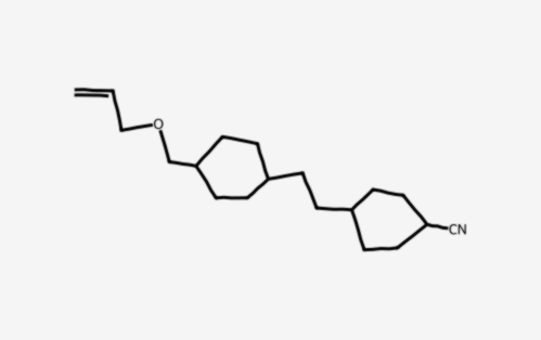 C=CCOCC1CCC(CCC2CCC(C#N)CC2)CC1